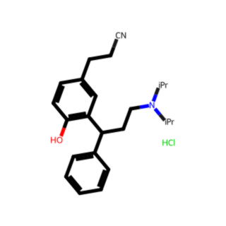 CC(C)N(CCC(c1ccccc1)c1cc(CCC#N)ccc1O)C(C)C.Cl